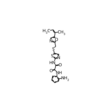 C/C=C(/C)c1cnc(CSc2cnc(NC(=O)C(=O)Nc3ccccc3N)s2)o1